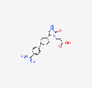 N=C(N)c1ccc(C2CCC(C3CNC(=O)N3CCC(=O)O)CC2)cc1